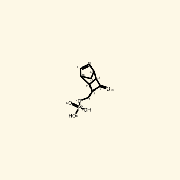 O=C1C(COP(=O)(O)O)C2C3C=CC(C3)C12